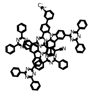 [C-]#[N+]c1cccc(-c2ccc(-c3nc(-c4ccccc4)nc(-c4cc(C#N)ccc4-n4c5ccc(-c6nc(-c7ccccc7)nc(-c7ccccc7)n6)cc5c5cc(-c6nc(-c7ccccc7)nc(-c7ccccc7)n6)ccc54)n3)c(-n3c4ccc(-c5nc(-c6ccccc6)nc(-c6ccccc6)n5)cc4c4cc(-c5nc(-c6ccccc6)nc(-c6ccccc6)n5)ccc43)c2)c1